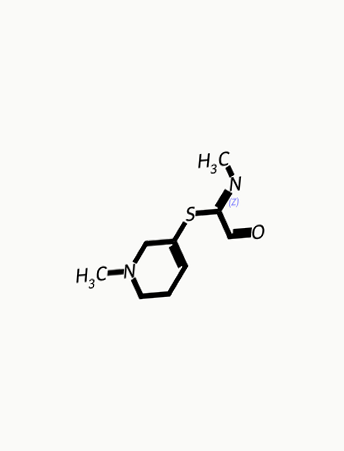 C/N=C(/C=O)SC1=CCCN(C)C1